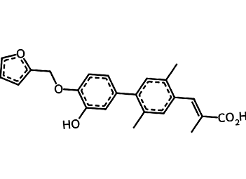 C/C(=C\c1cc(C)c(-c2ccc(OCc3ccco3)c(O)c2)cc1C)C(=O)O